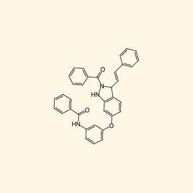 O=C(Nc1cccc(Oc2ccc3c(c2)NN(C(=O)c2ccccc2)C3C=Cc2ccccc2)c1)c1ccccc1